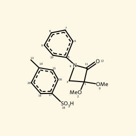 COC1(OC)CN(c2ccccc2)C1=O.Cc1ccc(S(=O)(=O)O)cc1